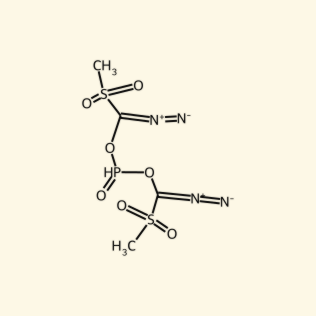 CS(=O)(=O)C(=[N+]=[N-])O[PH](=O)OC(=[N+]=[N-])S(C)(=O)=O